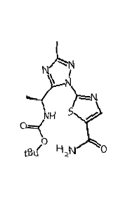 Cc1nc([C@H](C)NC(=O)OC(C)(C)C)n(-c2ncc(C(N)=O)s2)n1